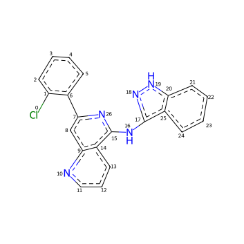 Clc1ccccc1-c1cc2ncccc2c(Nc2n[nH]c3ccccc23)n1